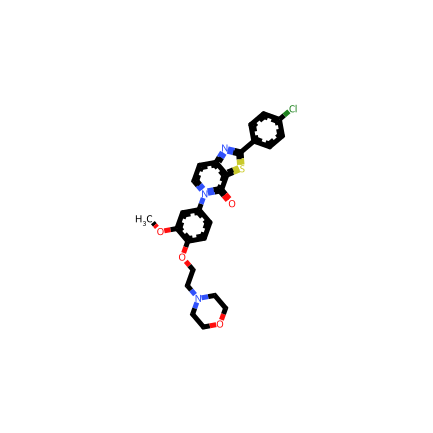 COc1cc(-n2ccc3nc(-c4ccc(Cl)cc4)sc3c2=O)ccc1OCCN1CCOCC1